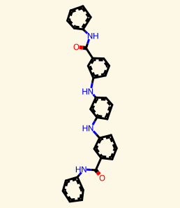 O=C(Nc1ccccc1)c1cccc(Nc2cccc(Nc3cccc(C(=O)Nc4ccccc4)c3)c2)c1